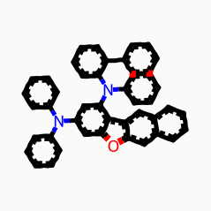 c1ccc(-c2ccccc2N(c2ccccc2)c2cc(N(c3ccccc3)c3ccccc3)cc3oc4cc5ccccc5cc4c23)cc1